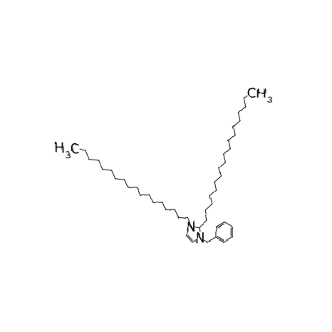 CCCCCCCCCCCCCCCCCCCC1N(CCCCCCCCCCCCCCCCCC)C=CN1Cc1ccccc1